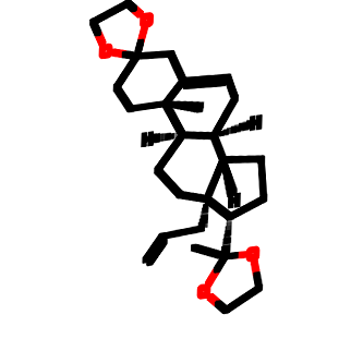 C=CC[C@]12CC[C@@H]3[C@@H](CC=C4CC5(CC[C@]43C)OCCO5)[C@@H]1CC[C@@H]2C1(C)OCCO1